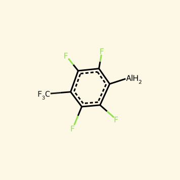 Fc1c(F)c(C(F)(F)F)c(F)c(F)[c]1[AlH2]